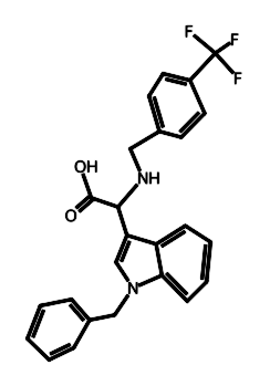 O=C(O)C(NCc1ccc(C(F)(F)F)cc1)c1cn(Cc2ccccc2)c2ccccc12